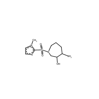 Cn1ccnc1S(=O)(=O)N1CCCC(N)C(O)C1